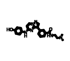 CN(C)CCNC(=O)c1cccc(-c2cnn3ccc(Nc4ccc(O)cc4)nc23)c1